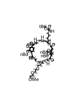 CCCCOc1c2ccc(c1OCCCC)C(=O)NCCN(CCOCCOCCOC)CCNC(=O)c1ccc(c(OCCCC)c1OCCCC)C(=O)NC(CCCCNC(=O)OC(C)(C)C)CNCCNC2=O